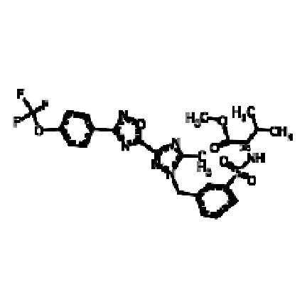 COC(=O)[C@@H](NS(=O)(=O)c1cccc(Cn2nc(-c3nc(-c4ccc(OC(F)(F)F)cc4)no3)nc2C)c1)C(C)C